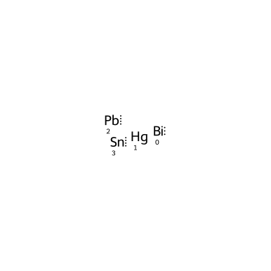 [Bi].[Hg].[Pb].[Sn]